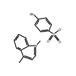 CC(C)(C)c1ccc(S(=O)(=O)[O-])cc1.Cc1cc[n+](C)c2ccccc12